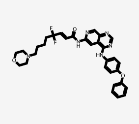 O=C(C=CC(F)(F)CCCCN1CCOCC1)Nc1cc2c(Nc3ccc(Oc4ccccc4)cc3)ncnc2cn1